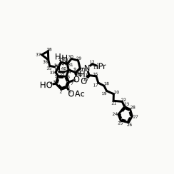 CC(=O)Oc1cc(O)c2c3c1O[C@H]1[C@@H](N(CC(C)C)C(=O)CCCCCCCc4ccccc4)CC[C@H]4[C@@H](C2)N(CC2CC2)CC[C@@]341